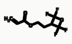 C=CC(=O)OCCC1C(F)(F)OC1(F)F